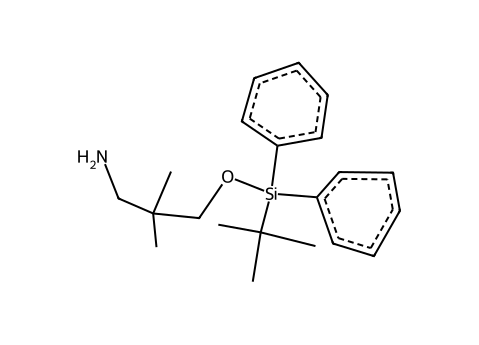 CC(C)(CN)CO[Si](c1ccccc1)(c1ccccc1)C(C)(C)C